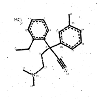 CCc1ccccc1C(C#N)(CCN(C)C)c1cccc(C)c1.Cl